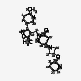 Cc1ccc(-c2noc(C)c2Cn2ncc(N3CC(Oc4ccccn4)C3)cc2=O)cn1